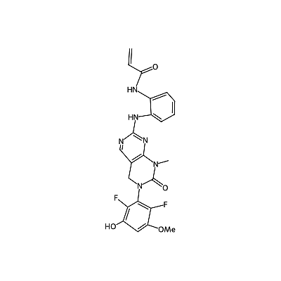 C=CC(=O)Nc1ccccc1Nc1ncc2c(n1)N(C)C(=O)N(c1c(F)c(O)cc(OC)c1F)C2